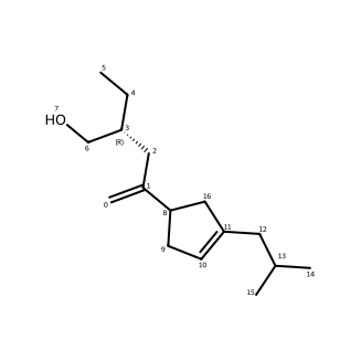 C=C(C[C@@H](CC)CO)C1CC=C(CC(C)C)C1